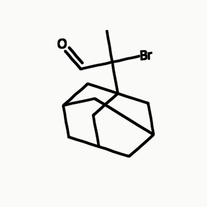 CC(Br)(C=O)C12CC3CC(CC(C3)C1)C2